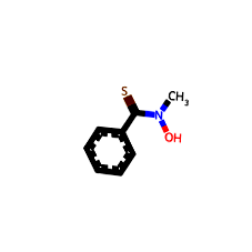 CN(O)C(=S)c1ccccc1